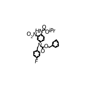 CC(C)OC(=O)Nc1ccc(N(Cc2ccc(F)cc2)C(=O)OCc2ccccc2)cc1[N+](=O)[O-]